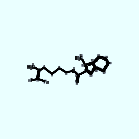 CC(CCCCOC(=O)c1cc2ccccc2n1C)=C(F)F